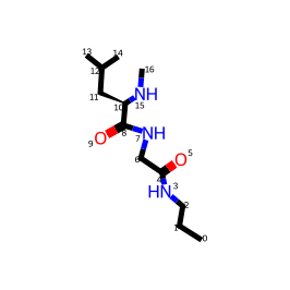 CCCNC(=O)CNC(=O)[C@@H](CC(C)C)NC